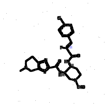 CN1CCc2nc(C(=O)N[C@@H]3CN(C=O)CC[C@@H]3NC(=O)/C(F)=C/c3ccc(Cl)cc3)sc2C1